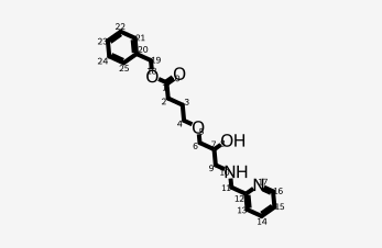 O=C(CCCOCC(O)CNCc1ccccn1)OCc1ccccc1